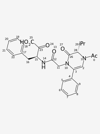 CC(=O)N1C=C(c2ccccc2)N(CC(=O)N[C@@H](Cc2ccccc2)C(=O)C(=O)O)C(=O)[C@@H]1C(C)C